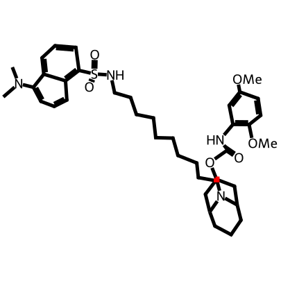 COc1ccc(OC)c(NC(=O)OC2CC3CCCC(C2)N3CCCCCCCCCCNS(=O)(=O)c2cccc3c(N(C)C)cccc23)c1